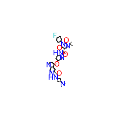 CC(C)n1cc(C(=O)Nc2ccc(Oc3ccnc4cnc(C(=O)NC5CC(N(C)C)C5)cc34)cn2)c(=O)n(-c2ccc(F)cc2)c1=O